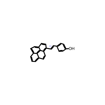 Oc1ccc(/C=C/c2ccc3ccc4cccc5ccc2c3c45)cc1